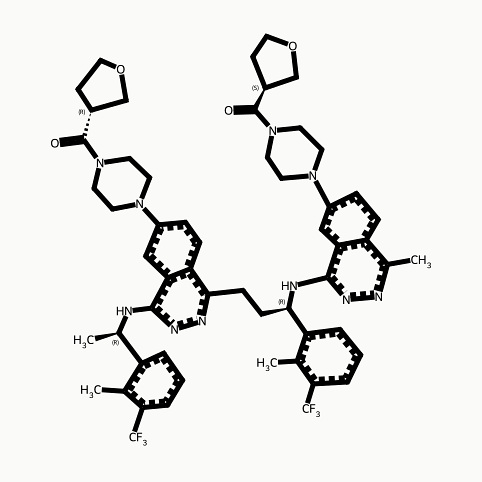 Cc1c([C@@H](C)Nc2nnc(CC[C@@H](Nc3nnc(C)c4ccc(N5CCN(C(=O)[C@H]6CCOC6)CC5)cc34)c3cccc(C(F)(F)F)c3C)c3ccc(N4CCN(C(=O)[C@@H]5CCOC5)CC4)cc23)cccc1C(F)(F)F